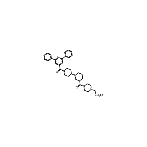 CCOC(=O)CN1CCN(C(=O)[C@@H]2CCCN(C3CCN(C(=O)c4cc(-c5ccccc5)nc(-c5ccccc5)c4)CC3)C2)CC1